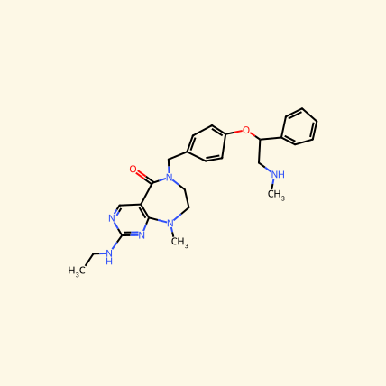 CCNc1ncc2c(n1)N(C)CCN(Cc1ccc(OC(CNC)c3ccccc3)cc1)C2=O